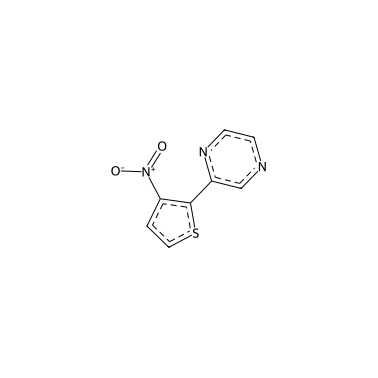 O=[N+]([O-])c1ccsc1-c1cnccn1